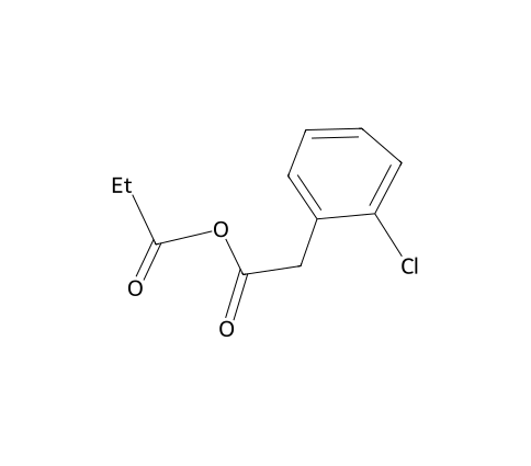 CCC(=O)OC(=O)Cc1ccccc1Cl